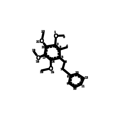 COc1c(C)c(CCc2ccccc2)c(OC)c(OC)c1OC